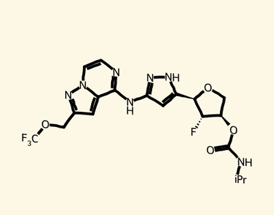 CC(C)NC(=O)O[C@@H]1CO[C@H](c2cc(Nc3nccn4nc(COC(F)(F)F)cc34)n[nH]2)[C@H]1F